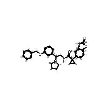 O=C(NCC(c1cccc(OCc2ccccc2)c1)N1CCCC1)C1(c2ccc3oc(=O)[nH]c3c2)CC1